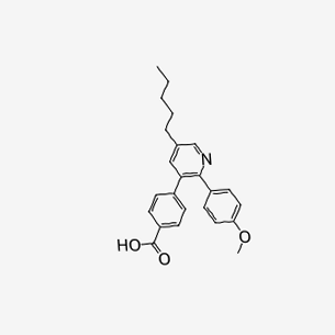 CCCCCc1cnc(-c2ccc(OC)cc2)c(-c2ccc(C(=O)O)cc2)c1